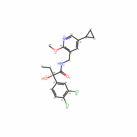 CC[C@](O)(C(=O)NCc1cc(C2CC2)cnc1OC)c1ccc(Cl)c(Cl)c1